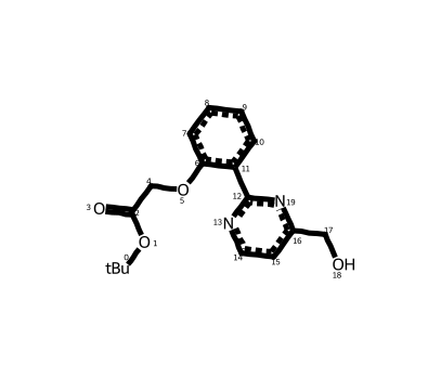 CC(C)(C)OC(=O)COc1ccccc1-c1nccc(CO)n1